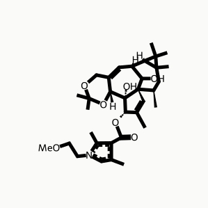 COCCn1cc(C)c(C(=O)O[C@H]2C(C)=C[C@]34C(O)[C@@H](C=C5COC(C)(C)O[C@H]5[C@]23O)[C@@H]2C(C)(C)C2(C)C[C@H]4C)c1C